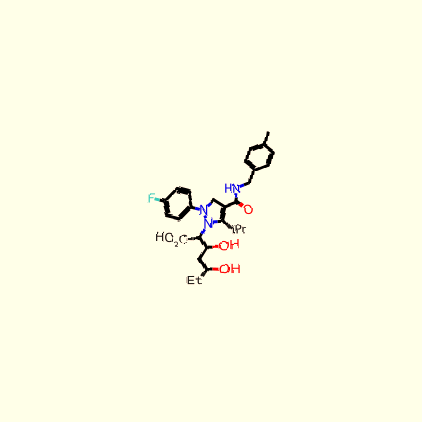 CCC(O)CC(O)C(C(=O)O)N1C(C(C)C)=C(C(=O)NCc2ccc(C)cc2)CN1c1ccc(F)cc1